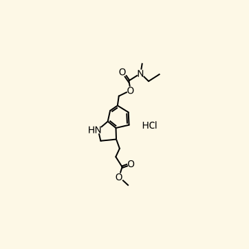 CCN(C)C(=O)OCc1ccc2c(c1)NCC2CCC(=O)OC.Cl